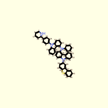 C1=CNC(c2ccc(-n3c4ccccc4c4c(N(c5ccccc5)c5cccc6c5c5ccccc5n6-c5ccc6sc7ccccc7c6c5)cccc43)cc2)C=C1